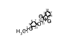 CCCOc1cccc(OCCN2C(=O)c3ccccc3C2=O)c1